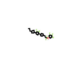 CCCc1ccc(-c2ccc(-c3ccc(CCC(F)(F)Oc4cc(F)c(F)c(F)c4)cc3)c(F)c2F)cc1